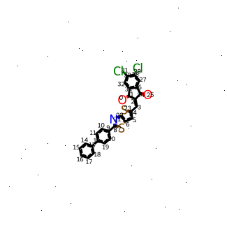 O=C1C(=Cc2cc3sc(-c4ccc(-c5ccccc5)cc4)nc3s2)C(=O)c2cc(Cl)c(Cl)cc21